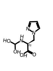 O=C(O)[C@H](Cn1cccn1)NC(O)O